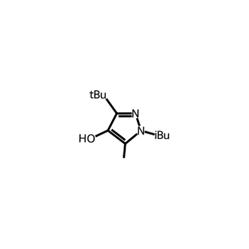 CCC(C)n1nc(C(C)(C)C)c(O)c1C